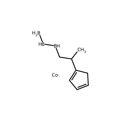 BBBCC(C)C1=CC=CC1.[Co]